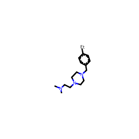 CCc1ccc(CN2CCN(CCN(C)C)CC2)cc1